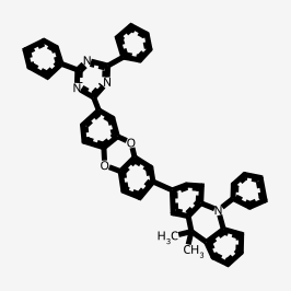 CC1(C)c2ccccc2N(c2ccccc2)c2ccc(-c3ccc4c(c3)Oc3cc(-c5nc(-c6ccccc6)nc(-c6ccccc6)n5)ccc3O4)cc21